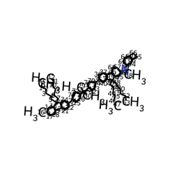 CCCCCCC1(CCCCCC)c2cc(C)ccc2-c2ccc(-c3ccc(C(C)(C)c4ccc(-c5ccc6c(c5)C(CCCCCC)(CCCCCC)c5cc(N(C)c7ccc8c(c7)CC8)ccc5-6)cc4)cc3)cc21